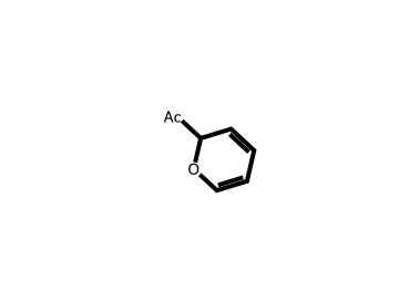 CC(=O)C1C=CC=CO1